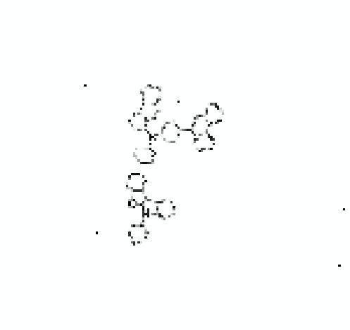 c1ccc(-n2c3ccccc3c3c4cc(-c5ccc(N(c6ccc(-c7cc8ccccc8c8ccccc78)cc6)c6cccc7c6oc6ccccc67)cc5)ccc4oc32)cc1